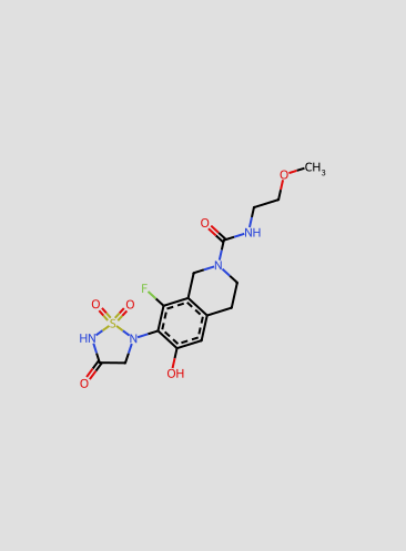 COCCNC(=O)N1CCc2cc(O)c(N3CC(=O)NS3(=O)=O)c(F)c2C1